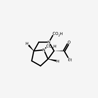 CCC(=O)[C@@H]1[C@@H]2CC[C@H](CN1C(=O)O)N2C(=O)O